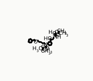 CC(C)(C)OC(=O)NCCC(O)c1cccc(N(CCCCCOCc2ccccc2)C(=O)OC(C)(C)C)c1